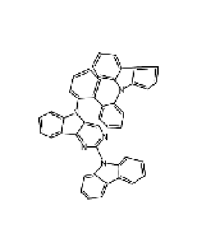 c1ccc(-n2c3ccccc3c3ccccc32)c(-c2ccccc2-n2c3ccccc3c3nc(-n4c5ccccc5c5ccccc54)ncc32)c1